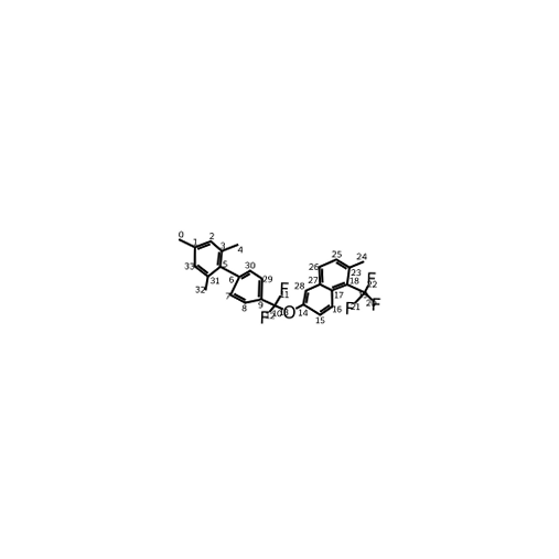 Cc1cc(C)c(-c2ccc(C(F)(F)Oc3ccc4c(C(F)(F)F)c(C)ccc4c3)cc2)c(C)c1